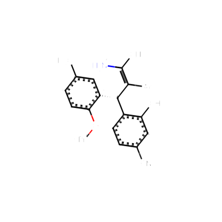 CCCOc1ccc(C)cc1[C@H](/C(C(C)=O)=C(/C)N)c1ccc(C#N)cc1C